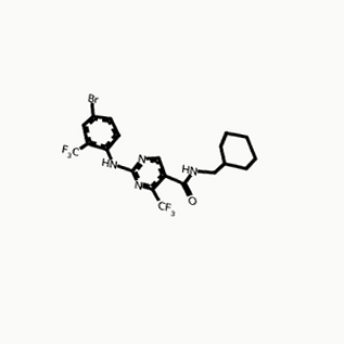 O=C(NCC1CCCCC1)c1cnc(Nc2ccc(Br)cc2C(F)(F)F)nc1C(F)(F)F